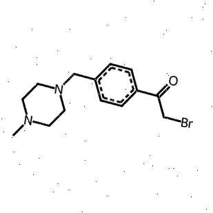 CN1CCN(Cc2ccc(C(=O)CBr)cc2)CC1